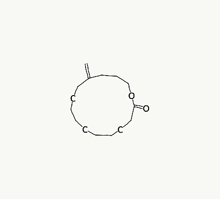 C=C1CCCCCCCCCC(=O)OCCC1